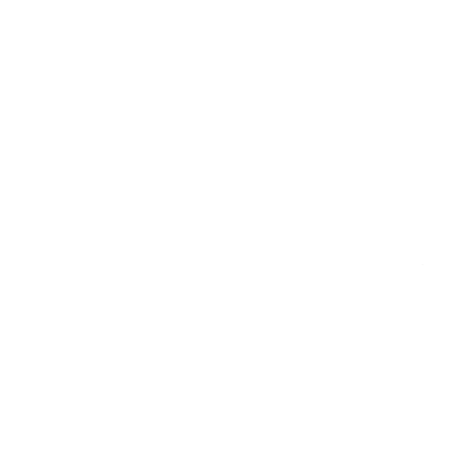 CC(C)(c1ccc([AsH2])cc1)c1ccc(C(C)(C)c2ccc([AsH2])cc2)cc1